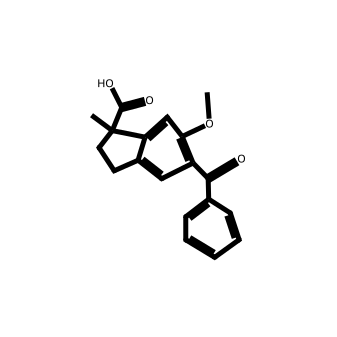 COc1cc2c(cc1C(=O)c1ccccc1)CCC2(C)C(=O)O